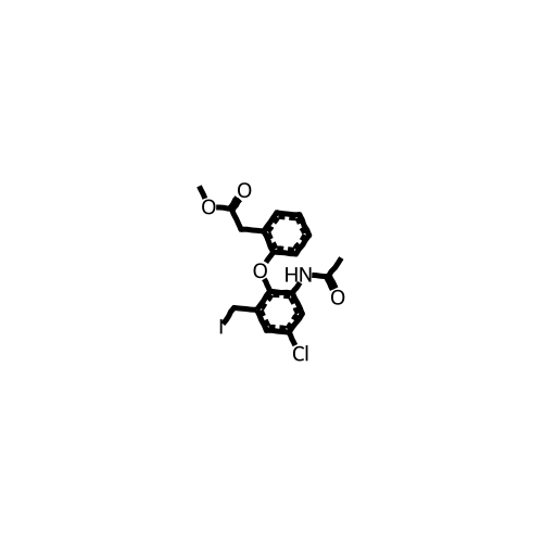 COC(=O)Cc1ccccc1Oc1c(CI)cc(Cl)cc1NC(C)=O